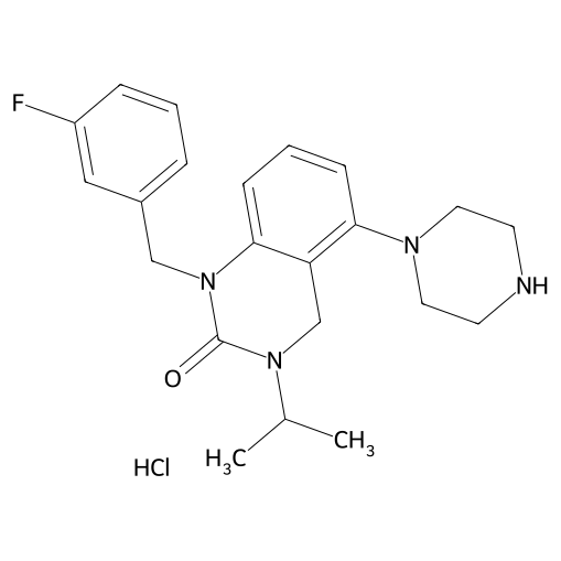 CC(C)N1Cc2c(N3CCNCC3)cccc2N(Cc2cccc(F)c2)C1=O.Cl